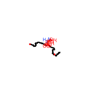 CCCCC/C=C\C/C=C\C/C=C\C/C=C\CCCC(=O)O[C@H](COC(=O)CCCCCC/C=C\C/C=C\C/C=C\CCCCC)COP(=O)(O)OC[C@H](N)C(=O)O